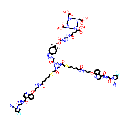 N#C[C@@H]1CC(F)(F)CN1C(=O)CNC(=O)c1ccnc2c(OCCCNC(=O)CCCCCSCC(=O)N3CN(C(=O)CSCCCCCC(=O)NCCCOc4cccc5c(C(=O)NCC(=O)N6CC(F)(F)C[C@H]6C#N)ccnc45)CN(C(=O)Cn4nnc5c4CC[C@@H]4[C@H](CC5)[C@@H]4COC(=O)NCCNC(=O)CCC(C(=O)O)N4CCN(CC(=O)O)CCN(CC(=O)O)CCN(CC(=O)O)CC4)C3)cccc12